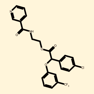 O=C(NCCOC(=O)C(Oc1cccc(C(F)(F)F)c1)c1ccc(Cl)cc1)c1cccnc1